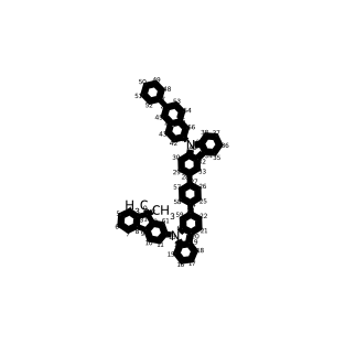 CC1(C)c2ccccc2-c2ccc(-n3c4ccccc4c4ccc(-c5ccc(-c6ccc7c(c6)c6ccccc6n7-c6ccc7cc(-c8ccccc8)ccc7c6)cc5)cc43)cc21